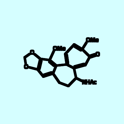 COc1c2c(cc3c1-c1ccc(OC)c(=O)cc1C(NC(C)=O)CC3)OCO2